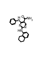 NC(=O)c1cnc(Nc2cccc3c2CCCC3)nc1Nc1ccccc1